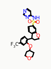 O=S(=O)(Nc1ccncn1)c1ccc2c(c1)OCCC2c1ccc(C(F)(F)F)cc1OC1CCOCC1